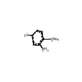 Bc1cc(CC)ccc1OC